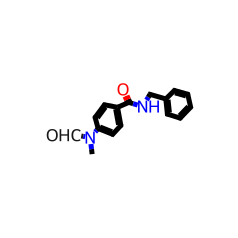 CN(C=O)c1ccc(C(=O)NCc2ccccc2)cc1